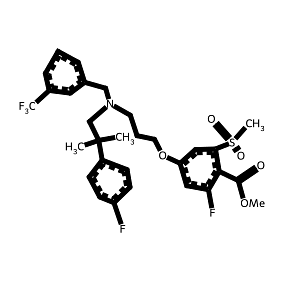 COC(=O)c1c(F)cc(OCCCN(Cc2cccc(C(F)(F)F)c2)CC(C)(C)c2ccc(F)cc2)cc1S(C)(=O)=O